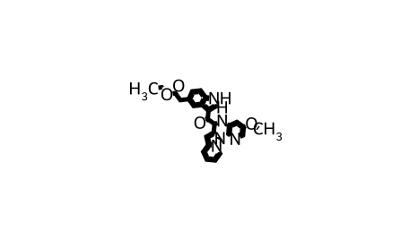 CCOC(=O)Cc1ccc2[nH]cc(C(=O)C(Nc3cncc(OC)c3)c3cc4ccccn4n3)c2c1